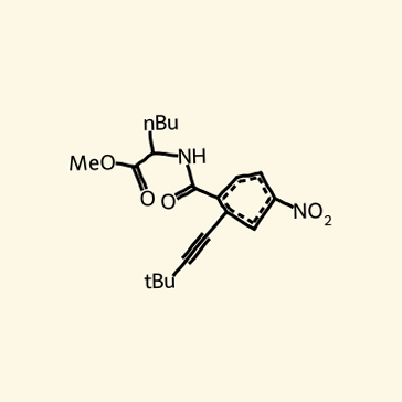 CCCCC(NC(=O)c1ccc([N+](=O)[O-])cc1C#CC(C)(C)C)C(=O)OC